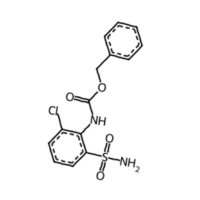 NS(=O)(=O)c1cccc(Cl)c1NC(=O)OCc1ccccc1